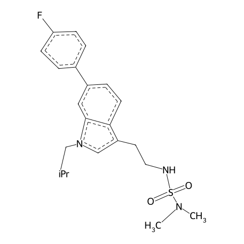 CC(C)Cn1cc(CCNS(=O)(=O)N(C)C)c2ccc(-c3ccc(F)cc3)cc21